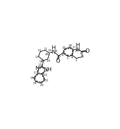 O=C1CCc2cc(C(=O)N[C@@H]3CCC[C@H](c4nc5ccccc5[nH]4)C3)ccc2N1